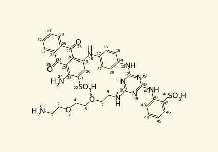 NCCOCCOCCNc1nc(Nc2ccc(Nc3cc(S(=O)(=O)O)c(N)c4c3C(=O)c3ccccc3C4=O)cc2)nc(Nc2ccccc2S(=O)(=O)O)n1